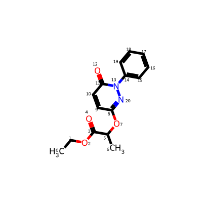 CCOC(=O)C(C)Oc1ccc(=O)n(-c2ccccc2)n1